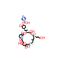 CO[C@H]1C[C@@H](C)C/C(C)=C/[C@@H](C/C=C/CO)C(=O)C[C@H](O)[C@@H](C)[C@@H](/C(C)=C/[C@@H]2CC[C@@H](OC(O)N3CCN(C)CC3)[C@H](OC)C2)OC(=O)[C@@H]2CCCCN2C(=O)C(=O)[C@]2(O)O[C@H]1[C@@H](OC)C[C@H]2C